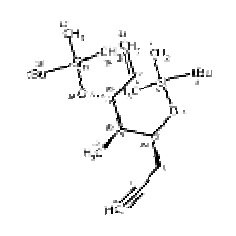 C#CC[C@H](O[Si](C)(C)C(C)(C)C)[C@@H](C)[C@@H](C=C)O[Si](C)(C)C(C)(C)C